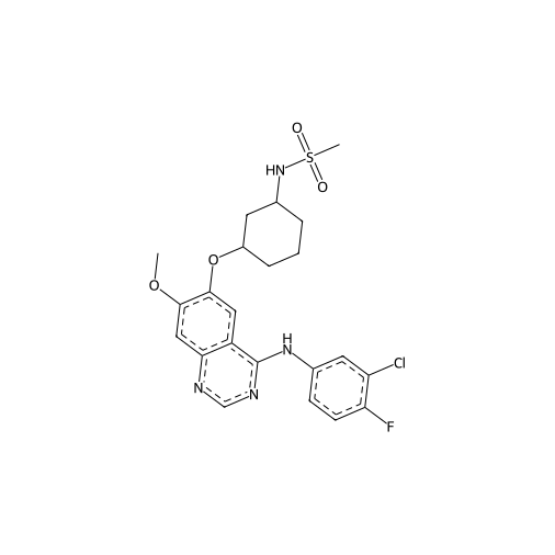 COc1cc2ncnc(Nc3ccc(F)c(Cl)c3)c2cc1OC1CCCC(NS(C)(=O)=O)C1